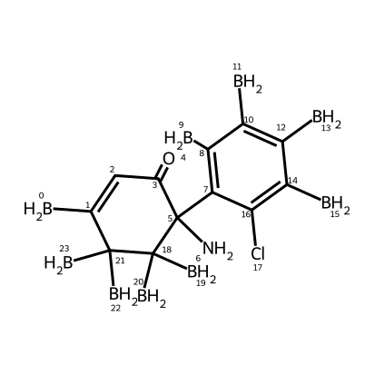 BC1=CC(=O)C(N)(c2c(B)c(B)c(B)c(B)c2Cl)C(B)(B)C1(B)B